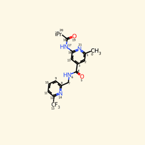 Cc1cc(C(=O)NCc2cccc(C(F)(F)F)n2)cc(NC(=O)C(C)C)n1